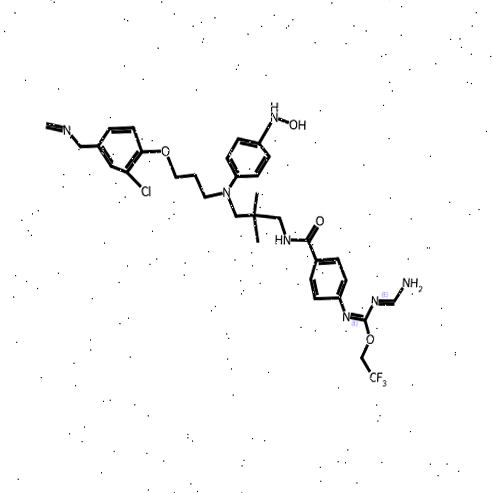 C=NCc1ccc(OCCCN(CC(C)(C)CNC(=O)c2ccc(/N=C(\N=C\N)OCC(F)(F)F)cc2)c2ccc(NO)cc2)c(Cl)c1